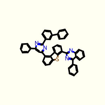 c1ccc(-c2cccc(-c3nc(-c4ccccc4)cc(-c4cccc5sc6c(-c7nc(-c8ccccc8)c8ccccc8n7)cccc6c45)n3)c2)cc1